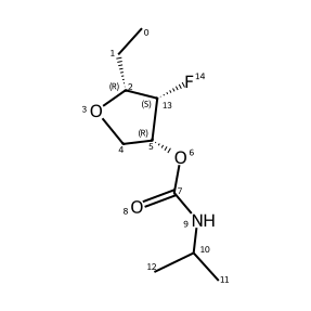 CC[C@H]1OC[C@@H](OC(=O)NC(C)C)[C@H]1F